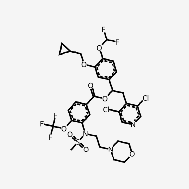 CS(=O)(=O)N(CCN1CCOCC1)c1cc(C(=O)OC(Cc2c(Cl)cncc2Cl)c2ccc(OC(F)F)c(OCC3CC3)c2)ccc1OC(F)(F)F